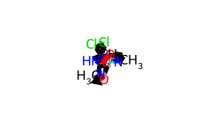 Cc1ccc(OC(=O)N(C)[C@]2(C(=O)C3CCN(C(=O)C4(C)CC4)CC3)CNC[C@H]2c2ccc(Cl)c(Cl)c2)c(F)n1